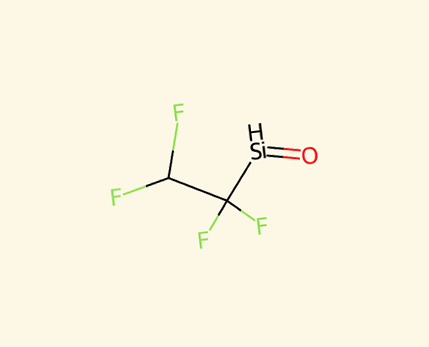 O=[SiH]C(F)(F)C(F)F